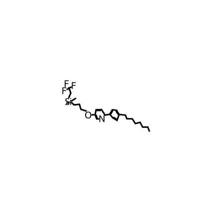 CCCCCCCCc1ccc(-c2ccc(OCCCC[Si](C)(C)CCC(F)(F)F)cn2)cc1